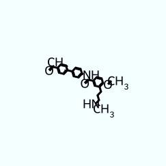 CNCCCc1cc(C(=O)Nc2ccc(-c3ccc(C(C)=O)cc3)cc2)ccc1OC